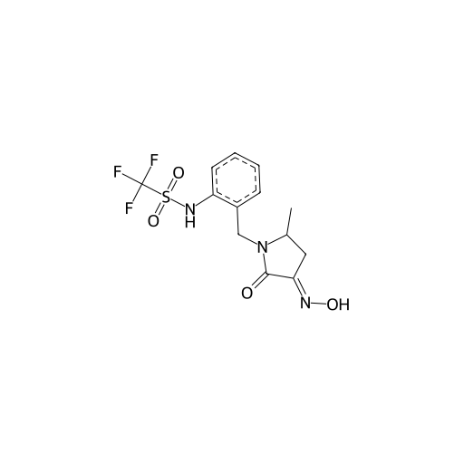 CC1CC(=NO)C(=O)N1Cc1ccccc1NS(=O)(=O)C(F)(F)F